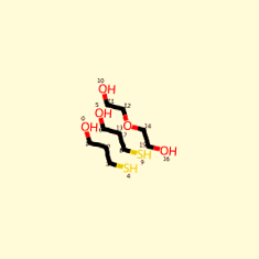 OCCCS.OCCCS.OCCOCCO